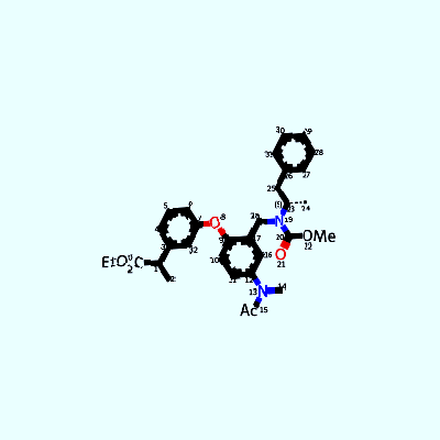 CCOC(=O)C(C)c1cccc(Oc2ccc(N(C)C(C)=O)cc2CN(C(=O)OC)[C@@H](C)Cc2ccccc2)c1